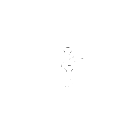 CCOC(=O)c1cc2cc(OCCOC)cc(N(CC(F)F)S(=O)(=O)c3ccccn3)c2[nH]1